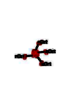 CCCCCCCCC(=O)OCCCCCCCCOC(=O)CC(C(=O)OCCCCCCCCOC(=O)CCCCCCCC)S(=O)(=O)OS(=O)(=O)C(CC(=O)OCCCCCCCCOC(=O)CCCCCCCC)C(=O)OCCCCCCCCOC(=O)CCCCCCCC